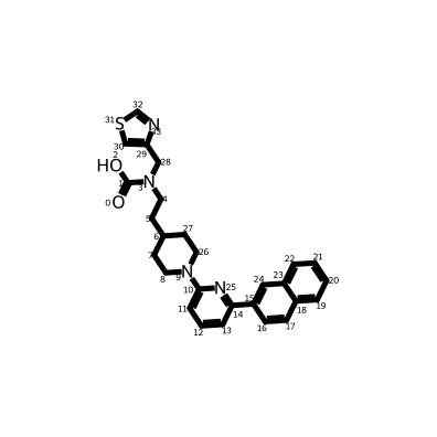 O=C(O)N(CCC1CCN(c2cccc(-c3ccc4ccccc4c3)n2)CC1)Cc1cscn1